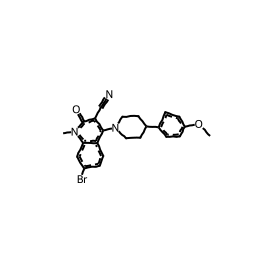 COc1ccc(C2CCN(c3c(C#N)c(=O)n(C)c4cc(Br)ccc34)CC2)cc1